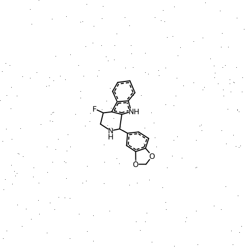 FC1CNC(c2ccc3c(c2)OCO3)c2[nH]c3ccccc3c21